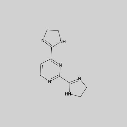 c1cc(C2=NCCN2)nc(C2=NCCN2)n1